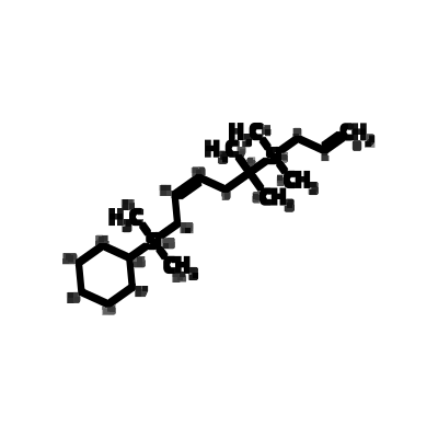 C=CC[Si](C)(C)C(C)(C)C/C=C\C[Si](C)(C)C1CCCCC1